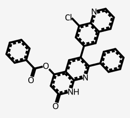 O=C(Oc1cc(=O)[nH]c2nc(-c3ccccc3)c(-c3cc(Cl)c4ncccc4c3)cc12)c1ccccc1